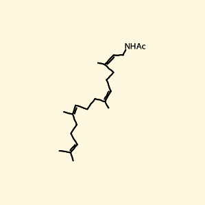 CC(=O)NCC=C(C)CCC=C(C)CCC=C(C)CCC=C(C)C